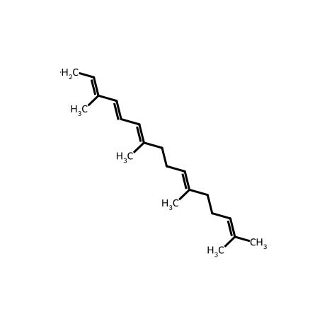 [CH2]/C=C(C)/C=C/C=C(\C)CC/C=C(\C)CCC=C(C)C